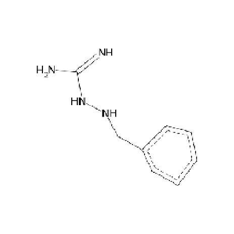 N=C(N)NNCc1ccccc1